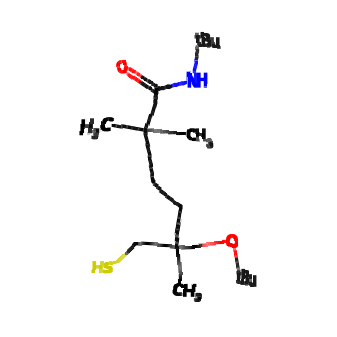 CC(C)(C)NC(=O)C(C)(C)CCC(C)(CS)OC(C)(C)C